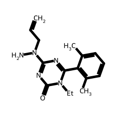 C=CCN(N)c1nc(-c2c(C)cccc2C)n(CC)c(=O)n1